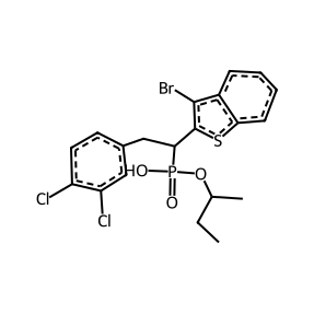 CCC(C)OP(=O)(O)C(Cc1ccc(Cl)c(Cl)c1)c1sc2ccccc2c1Br